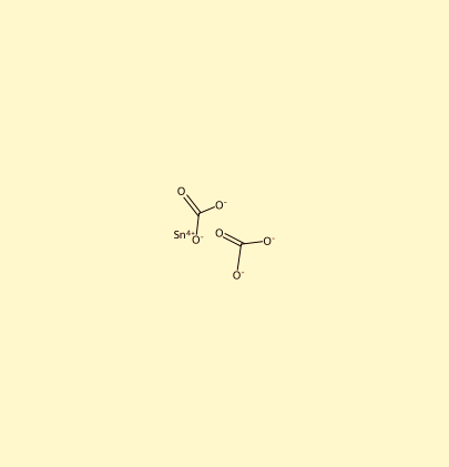 O=C([O-])[O-].O=C([O-])[O-].[Sn+4]